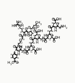 CC(=O)CNC(=O)[C@@H]1CCCN1C(=O)[C@H](CCCNC(=N)N)NC(=O)COCCNC(=O)[C@@H](Cc1ccc(C(C)=O)cc1)NC(=O)CNC(=O)[C@@H](CCC(=O)O)NC(=O)CCC(=O)[C@@H](CCC(=O)O)NC(=O)CNC(=O)[C@@H](CCC(=O)O)NC(=O)CCC(=O)[C@@H](CCC(=O)O)NC(=O)CN